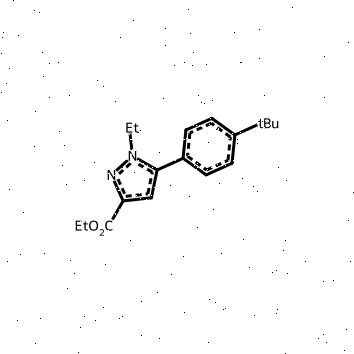 CCOC(=O)c1cc(-c2ccc(C(C)(C)C)cc2)n(CC)n1